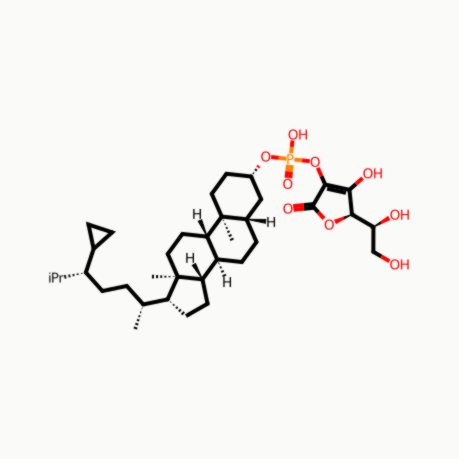 CC(C)[C@@H](CC[C@@H](C)[C@H]1CC[C@H]2[C@@H]3CC[C@H]4C[C@@H](OP(=O)(O)OC5=C(O)[C@@H]([C@@H](O)CO)OC5=O)CC[C@]4(C)[C@H]3CC[C@]12C)C1CC1